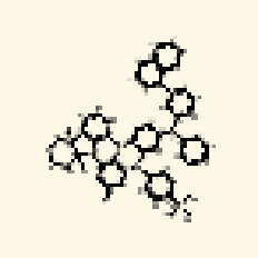 Cc1cc2c3c(c1)N1c4c(cccc4C4(C)CCCCC14C)B3c1ccc(N(c3ccccc3)c3cccc(-c4cccc5ccccc45)c3)cc1N2c1ccc([Si](C)(C)C)cc1